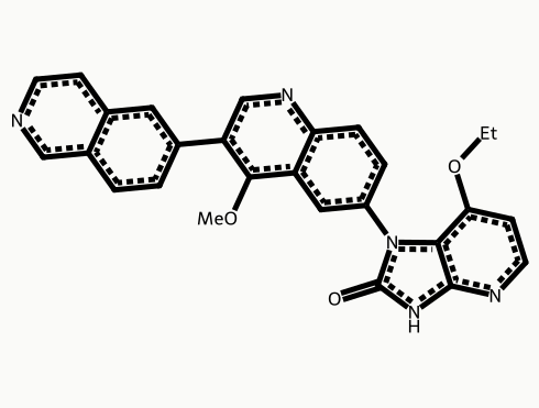 CCOc1ccnc2[nH]c(=O)n(-c3ccc4ncc(-c5ccc6cnccc6c5)c(OC)c4c3)c12